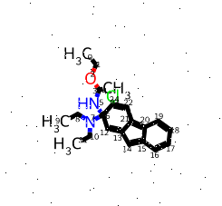 CCOC(C)NC1(N(CC)CC)C=C2C=c3ccccc3=C2C=C1Cl